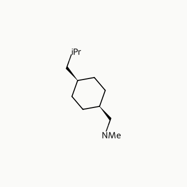 CNC[C@H]1CC[C@@H](CC(C)C)CC1